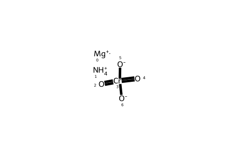 [Mg+].[NH4+].[O]=[Cr](=[O])([O-])[O-]